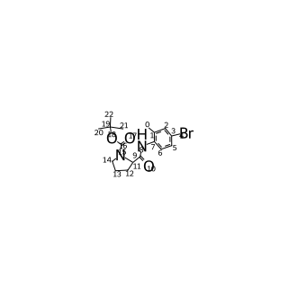 Cc1cc(Br)ccc1NC(=O)C1CCCN1C(=O)OC(C)(C)C